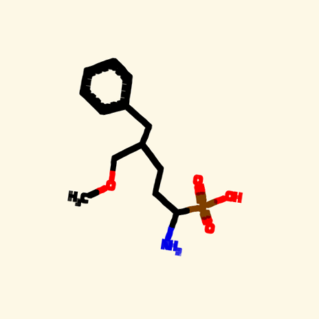 COCC(CCC(N)S(=O)(=O)O)Cc1ccccc1